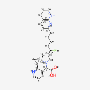 O=C(O)[C@@H](c1cccnc1C1CC1)N1CC[C@@H](C(F)CCCCc2ccc3c(n2)NCCC3)C1